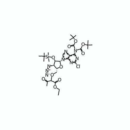 CCOC(=O)C(OC[C@H]1O[C@@H](n2cnc3c(N(C(=O)OC(C)(C)C)C(=O)OC(C)(C)C)nc(Cl)nc32)[C@H](O[Si](C)(C)C(C)(C)C)[C@@H]1N=[N+]=[N-])C(C)=O